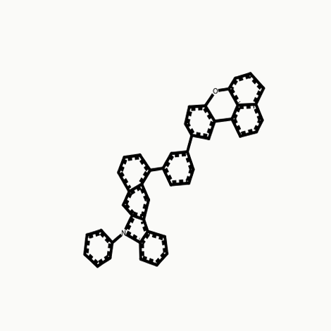 c1ccc(-n2c3ccccc3c3cc4c(-c5cccc(-c6ccc7c(c6)-c6cccc8cccc(c68)O7)c5)cccc4cc32)cc1